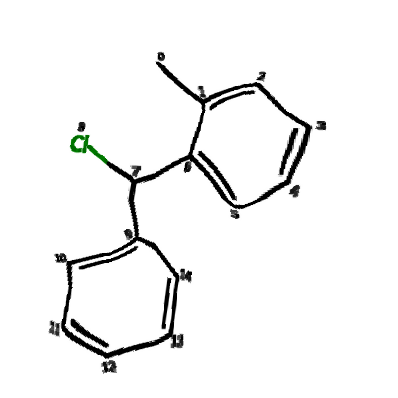 Cc1ccccc1C(Cl)c1ccccc1